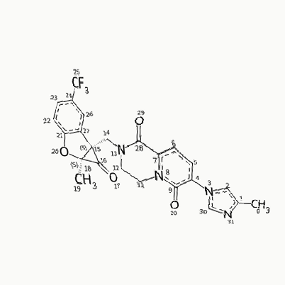 Cc1cn(-c2ccc3n(c2=O)CCN(C[C@]24C(=O)[C@@]2(C)Oc2ccc(C(F)(F)F)cc24)C3=O)cn1